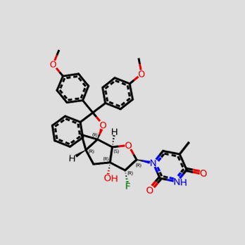 COc1ccc(C(O[C@]23C[C@H]2C[C@]2(O)[C@@H](F)[C@H](n4cc(C)c(=O)[nH]c4=O)O[C@@H]23)(c2ccccc2)c2ccc(OC)cc2)cc1